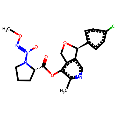 CO/N=[N+](\[O-])N1CCC[C@H]1C(=O)Oc1c(C)ncc2c1CO[C@H]2c1ccc(Cl)cc1